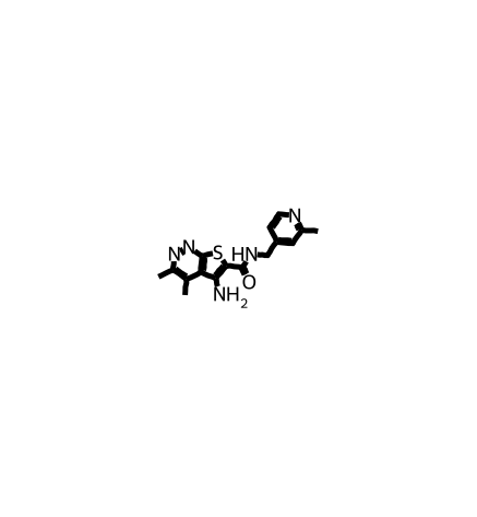 Cc1cc(CNC(=O)c2sc3nnc(C)c(C)c3c2N)ccn1